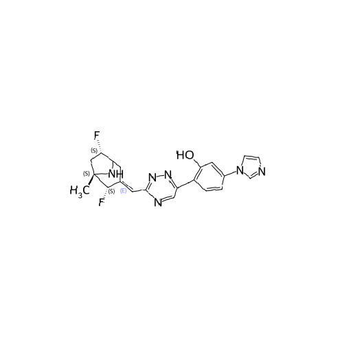 C[C@]12C[C@H](F)C(C/C(=C\c3ncc(-c4ccc(-n5ccnc5)cc4O)nn3)[C@@H]1F)N2